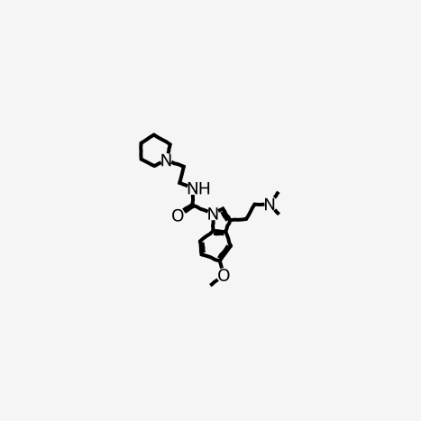 COc1ccc2c(c1)c(CCN(C)C)cn2C(=O)NCCN1CCCCC1